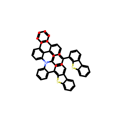 c1ccc(-c2ccccc2-c2c(-c3ccccc3)cccc2N(c2ccc(-c3cccc4c3sc3ccccc34)cc2)c2ccccc2-c2cccc3c2sc2ccccc23)cc1